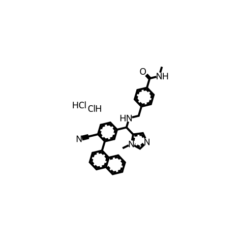 CNC(=O)c1ccc(CNC(c2ccc(C#N)c(-c3cccc4ccccc34)c2)c2cncn2C)cc1.Cl.Cl